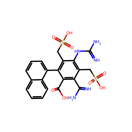 N=C(N)Nc1c(CS(=O)(=O)O)c(C(=N)N)c(C(=O)O)c(-c2cccc3ccccc23)c1CS(=O)(=O)O